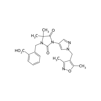 Cc1noc(C)c1Cn1cc(N2C(=O)N(Cc3ccccc3C(=O)O)C(C)(C)C2=O)cn1